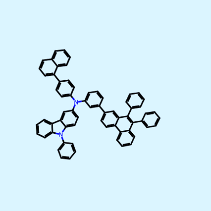 c1ccc(-c2c(-c3ccccc3)c3cc(-c4cccc(N(c5ccc(-c6cccc7ccccc67)cc5)c5ccc6c(c5)c5ccccc5n6-c5ccccc5)c4)ccc3c3ccccc23)cc1